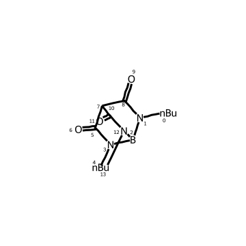 CCCCN1B2N(C)C(=O)C(C1=O)C(=O)N2CCCC